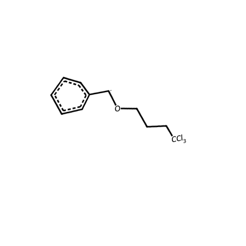 ClC(Cl)(Cl)CCCO[CH]c1ccccc1